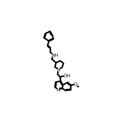 COc1ccc2nccc(C(O)CN3CCCC(CNCC=Cc4ccccc4)C3)c2c1